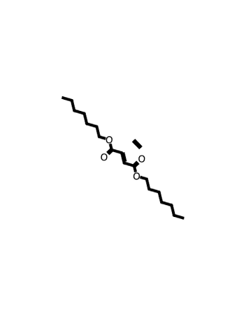 C=C.CCCCCCCOC(=O)C=CC(=O)OCCCCCCC